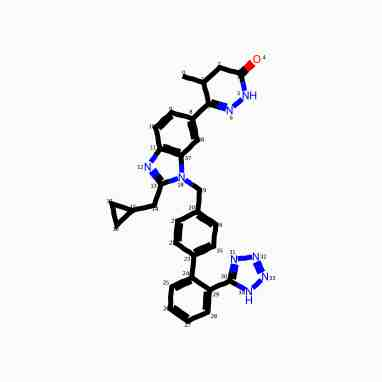 CC1CC(=O)NN=C1c1ccc2nc(CC3CC3)n(Cc3ccc(-c4ccccc4-c4nnn[nH]4)cc3)c2c1